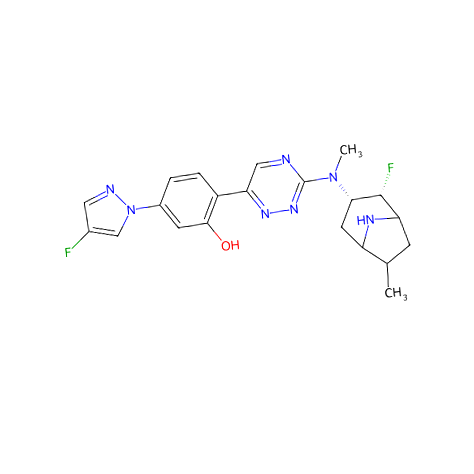 CC1CC2NC1C[C@H](N(C)c1ncc(-c3ccc(-n4cc(F)cn4)cc3O)nn1)[C@@H]2F